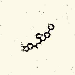 C/C(=C\C=C(\Cc1ccc(-c2cccnc2)cc1)C1CC=CN1)c1ccc2c(c1)CNC2=O